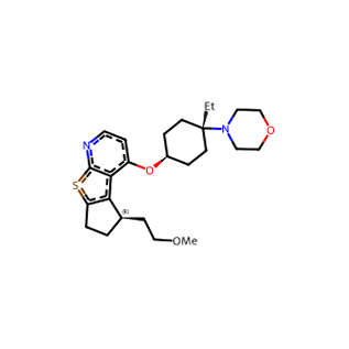 CC[C@]1(N2CCOCC2)CC[C@H](Oc2ccnc3sc4c(c23)[C@@H](CCOC)CC4)CC1